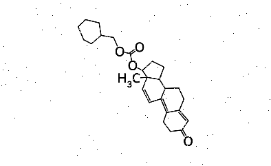 CC12C=CC3=C4CCC(=O)C=C4CCC3C1CCC2OC(=O)OCC1CCCCC1